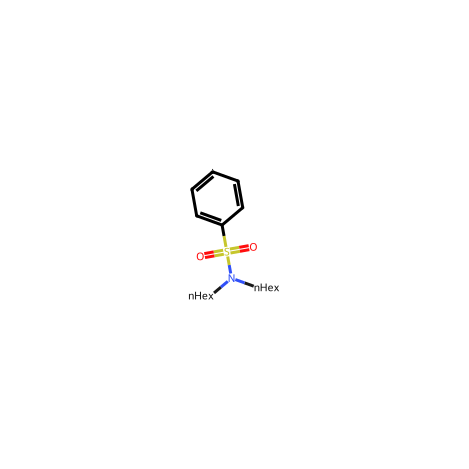 CCCCCCN(CCCCCC)S(=O)(=O)c1cc[c]cc1